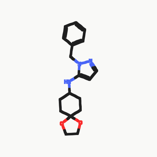 c1ccc(Cn2nccc2NC2CCC3(CC2)OCCO3)cc1